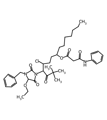 CCCCCCCC(CCC(Cl)C(C(=O)C(C)(C)C)N1C(=O)C(OCC)N(Cc2ccccc2)C1=O)OC(=O)CC(=O)Nc1ccccc1